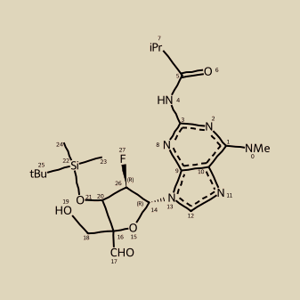 CNc1nc(NC(=O)C(C)C)nc2c1ncn2[C@@H]1OC(C=O)(CO)C(O[Si](C)(C)C(C)(C)C)[C@H]1F